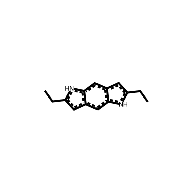 CCc1cc2cc3[nH]c(CC)cc3cc2[nH]1